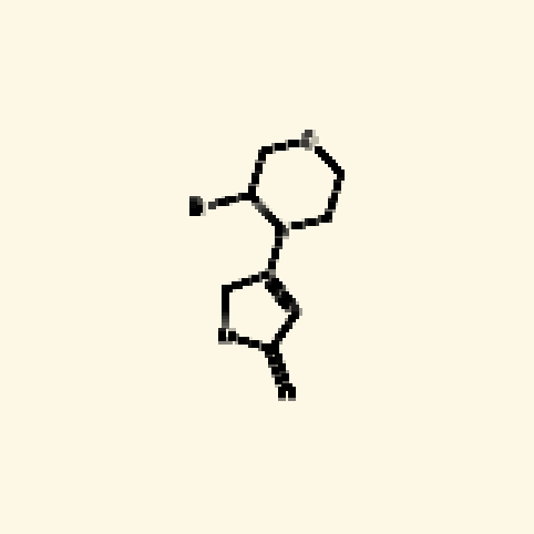 O=C1C=C(N2CCOCC2Br)CO1